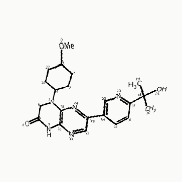 COC1CCC(N2CC(=O)Nc3ncc(-c4ccc(C(C)(C)O)nc4)nc32)CC1